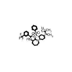 CC(C)N(C)[C@@H]1CC[C@H](N2CCCCC(NC(=O)c3cccc(C(F)(F)F)c3)C2=O)[C@H](CS(=O)(=O)c2ccccc2)C1